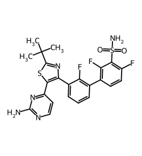 CC(C)(C)c1nc(-c2cccc(-c3ccc(F)c(S(N)(=O)=O)c3F)c2F)c(-c2ccnc(N)n2)s1